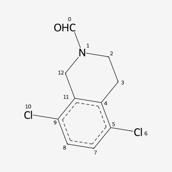 O=CN1CCc2c(Cl)ccc(Cl)c2C1